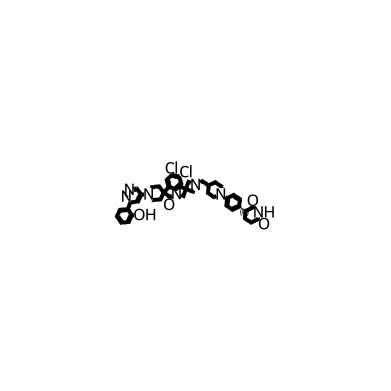 O=C1CC[C@H](c2ccc(N3CCC(CN4CC5(C4)CN(C(=O)C4(c6ccc(Cl)c(Cl)c6)CCN(c6cnnc(-c7ccccc7O)c6)CC4)C5)CC3)cc2)C(=O)N1